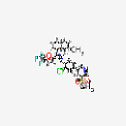 Cc1ccc2ccccc2c1CN(Cc1ccc(C(F)(F)F)o1)Cc1ccc(-c2cncc(S(C)(=O)=O)c2)cc1Cl